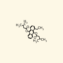 CCc1cccc2c(OC(=O)CC(C)C)c3ccccc3c(OC(=O)CC(C)C)c12